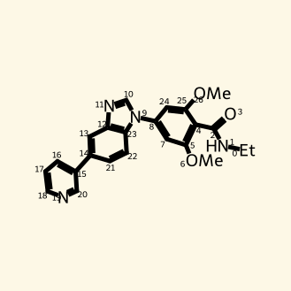 CCNC(=O)c1c(OC)cc(-n2cnc3cc(-c4cccnc4)ccc32)cc1OC